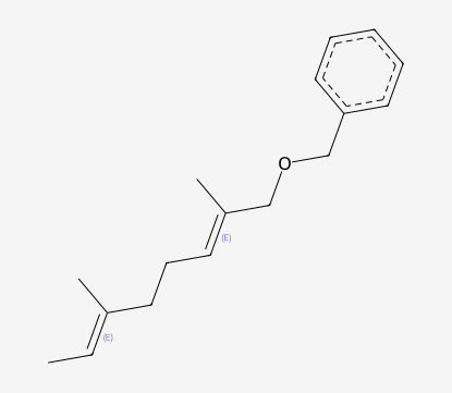 C/C=C(\C)CC/C=C(\C)COCc1ccccc1